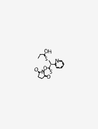 CC(C(=S)ON1C(=O)CCC1=O)c1ccccn1.CCC(O)=S